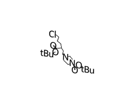 CC(C)(C)OC(=O)C(CCCCl)CCN1CCN(C(=O)OC(C)(C)C)CC1